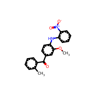 COc1cc(C(=O)c2ccccc2C)ccc1Nc1ccccc1[N+](=O)[O-]